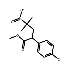 COC(=O)C(CC(C)(C)[N+](=O)[O-])c1ccc(Cl)nc1